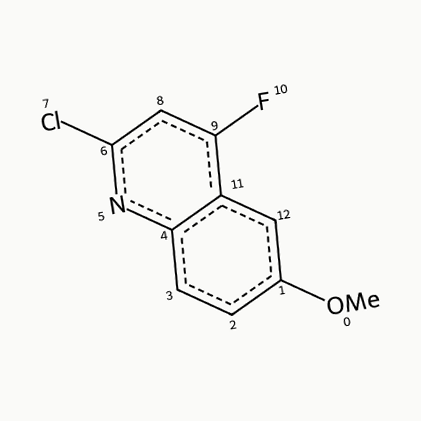 COc1ccc2nc(Cl)cc(F)c2c1